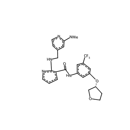 CNc1cc(CNc2ncccc2C(=O)Nc2cc(O[C@@H]3CCOC3)cc(C(F)(F)F)c2)ccn1